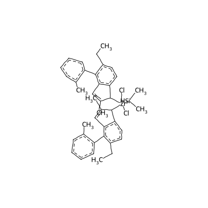 CCc1ccc2c(c1-c1ccccc1C)C=C(C)[CH]2[Zr]([Cl])([Cl])([CH]1C(C)=Cc2c1ccc(CC)c2-c1ccccc1C)[SiH](C)C